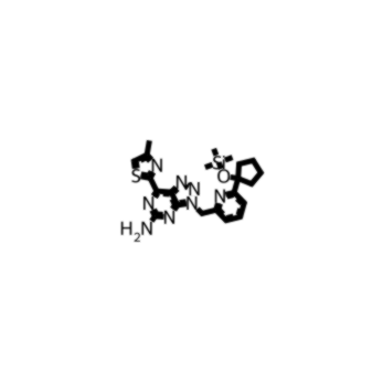 Cc1csc(-c2nc(N)nc3c2nnn3Cc2cccc(C3(O[Si](C)(C)C)CCCC3)n2)n1